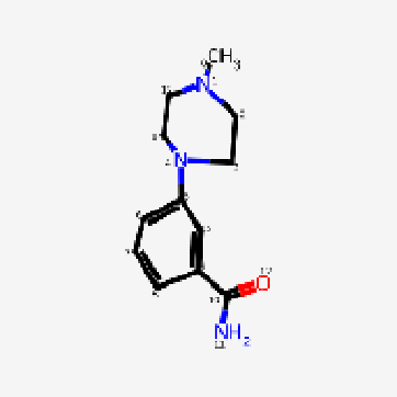 CN1CCN(c2cccc(C(N)=O)c2)CC1